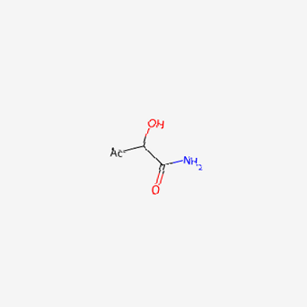 CC(=O)C(O)C(N)=O